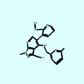 CCOc1ncccc1-c1cnc2c(c(C(C)C)nn2C)c1NCc1cccc(C)n1